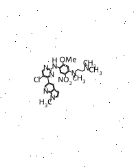 COc1cc(N(C)CCN(C)C)c([N+](=O)[O-])cc1Nc1ncc(Cl)c(-c2cnc3c(ccn3C)c2)n1